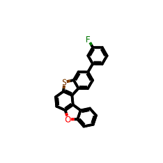 Fc1cccc(-c2ccc3c(c2)sc2ccc4oc5ccccc5c4c23)c1